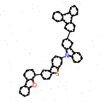 c1ccc2c(c1)oc1c(-c3ccc4sc5cc(-n6c7ccccc7c7cc(-c8ccc9c%10ccccc%10c%10ccccc%10c9c8)ccc76)ccc5c4c3)cccc12